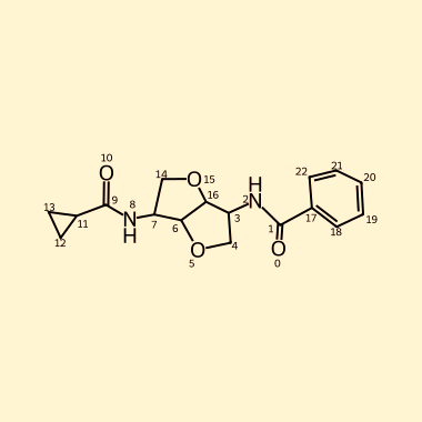 O=C(NC1COC2C(NC(=O)C3CC3)COC12)c1ccccc1